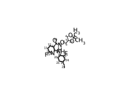 CC1(C)OCC(CONC(=O)c2ccc(F)nc2Nc2ccc(I)cc2F)O1